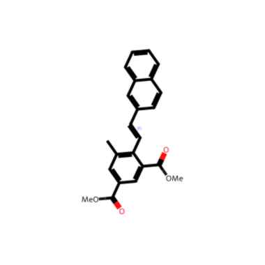 COC(=O)c1cc(C)c(/C=C/c2ccc3ccccc3c2)c(C(=O)OC)c1